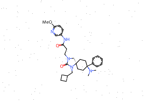 COc1ccc(NC(=O)CCN2C[C@]3(CC[C@](c4ccccc4)(N(C)C)CC3)N(CC3CCC3)C2=O)cn1